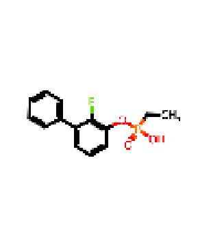 CCP(=O)(O)Oc1cccc(-c2ccccc2)c1F